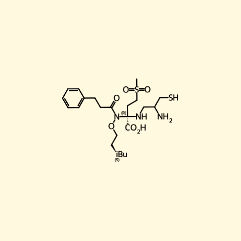 CC[C@H](C)CCON(C(=O)CCc1ccccc1)[C@@](CCS(C)(=O)=O)(NCC(N)CS)C(=O)O